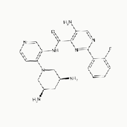 Nc1cnc(-c2ccccc2F)nc1C(=O)Nc1cnccc1N1C[C@H](N)C[C@H](N)C1